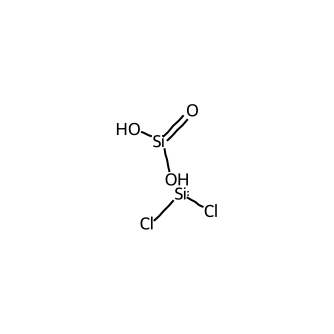 Cl[Si]Cl.O=[Si](O)O